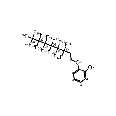 [O]c1ccccc1OCCC(F)(F)C(F)(F)C(F)(F)C(F)(F)C(F)(F)C(F)(F)F